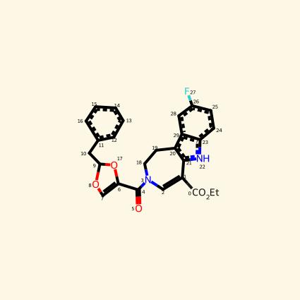 CCOC(=O)C1=CN(C(=O)C2=COC(Cc3ccccc3)O2)CCc2c1[nH]c1ccc(F)cc21